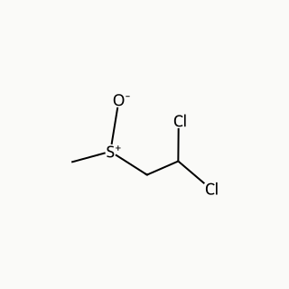 C[S+]([O-])CC(Cl)Cl